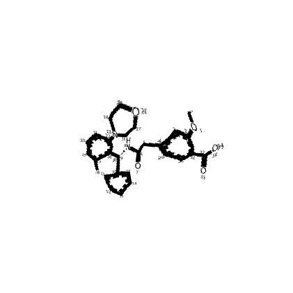 COc1cc(CC(=O)N[C@H](c2ccccc2)c2c(C)cccc2N2CCOCC2)ccc1C(=O)O